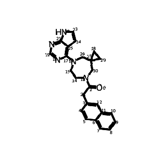 O=C(Cc1ccc2ccccc2c1)N1CCN(c2ncnc3[nH]ccc23)CC2(CC2)C1